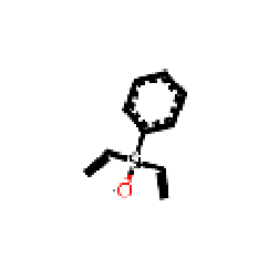 C=C[Si]([O])(C=C)c1ccccc1